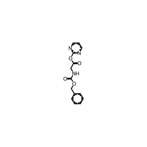 O=C(CNC(=O)OCc1ccccc1)Oc1ncccn1